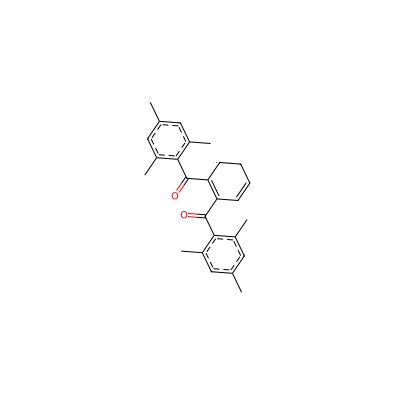 Cc1cc(C)c(C(=O)C2=C(C(=O)c3c(C)cc(C)cc3C)C=CC[CH]2)c(C)c1